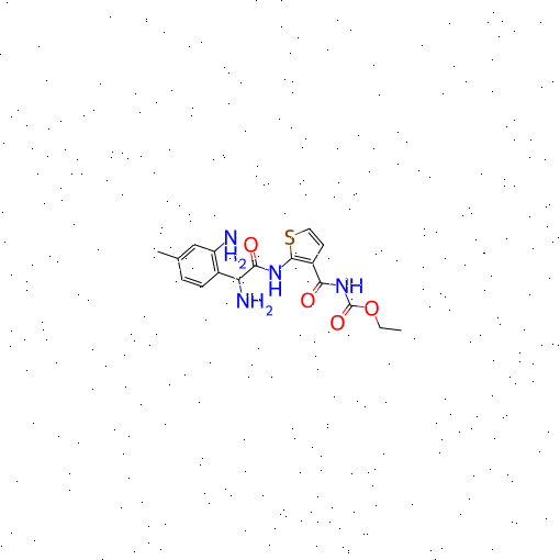 CCOC(=O)NC(=O)c1ccsc1NC(=O)C(N)c1ccc(C)cc1N